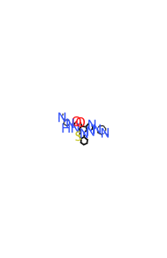 CN1CCCN(c2ncc3c(=O)c(NC(=O)N4CCC(N(C)C)C4)c4sc5ccccc5n4c3n2)CC1